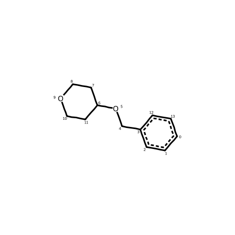 c1ccc(COC2CCOCC2)cc1